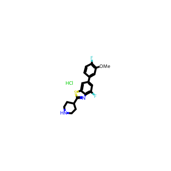 COc1cc(-c2cc(F)c3nc(C4CCNCC4)sc3c2)ccc1F.Cl